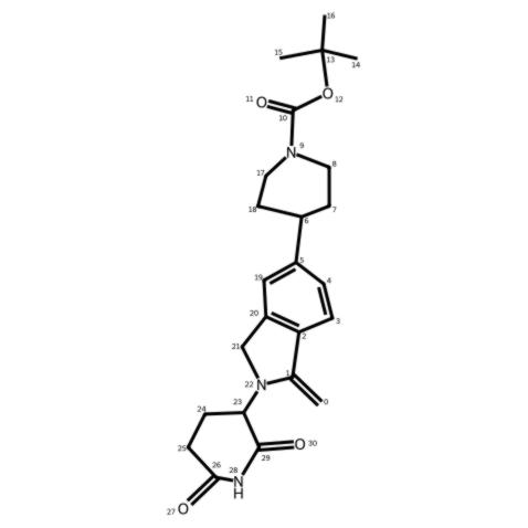 C=C1c2ccc(C3CCN(C(=O)OC(C)(C)C)CC3)cc2CN1C1CCC(=O)NC1=O